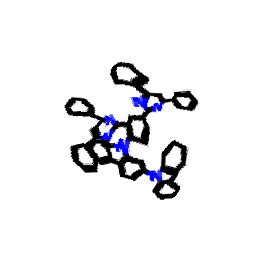 C1=Cc2c(c3ccccc3n2-c2ccc3c4ccccc4n(-c4ccc(-c5nc(-c6ccccc6)cc(-c6ccccc6)n5)cc4-c4nc(-c5ccccc5)cc(-c5ccccc5)n4)c3c2)CC1